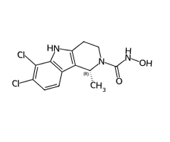 C[C@@H]1c2c([nH]c3c(Cl)c(Cl)ccc23)CCN1C(=O)NO